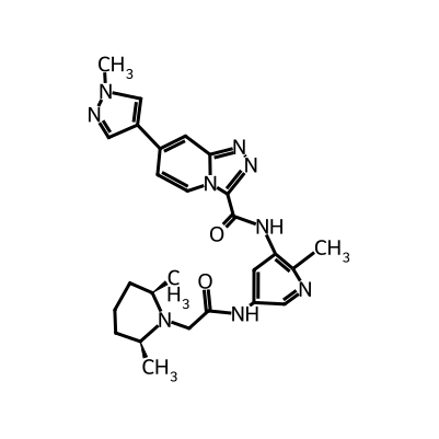 Cc1ncc(NC(=O)CN2[C@H](C)CCC[C@@H]2C)cc1NC(=O)c1nnc2cc(-c3cnn(C)c3)ccn12